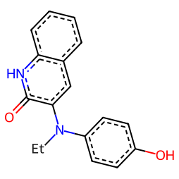 CCN(c1ccc(O)cc1)c1cc2ccccc2[nH]c1=O